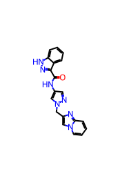 O=C(Nc1cnn(Cc2cn3ccccc3n2)c1)c1n[nH]c2ccccc12